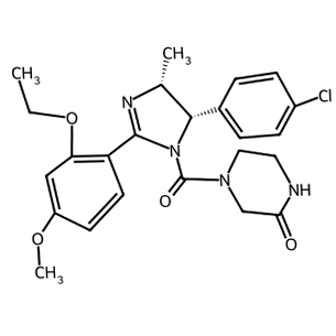 CCOc1cc(OC)ccc1C1=N[C@H](C)[C@H](c2ccc(Cl)cc2)N1C(=O)N1CCNC(=O)C1